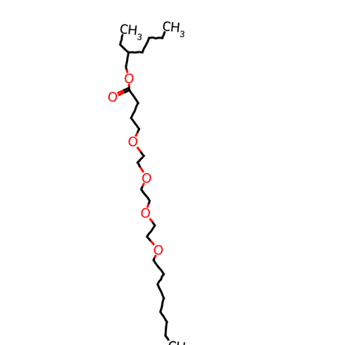 CCCCCCCCOCCOCCOCCOCCCC(=O)OCC(CC)CCCC